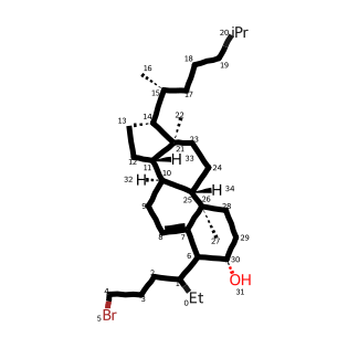 [CH2]CC(CCCBr)C1C2=CC[C@H]3[C@@H]4CC[C@H]([C@H](C)CCCC(C)C)[C@@]4(C)CC[C@@H]3[C@@]2(C)CC[C@@H]1O